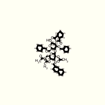 CC(=O)OC[C@H]1OC(O[C@H]2[C@H](OCc3ccccc3)[C@@H](N3C(=O)c4ccccc4C3=O)[C@H](O)O[C@@H]2COCc2ccccc2)[C@H](OC(C)=O)[C@@H](OCc2ccc3ccccc3c2)[C@@H]1OC(C)=O